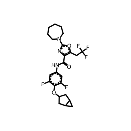 O=C(Nc1cc(F)c(OC2CC3CC3C2)c(F)c1)c1nc(N2CCCCCC2)oc1CC(F)(F)F